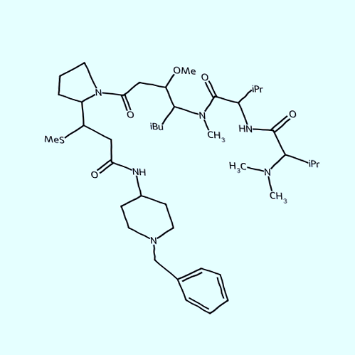 CCC(C)C(C(CC(=O)N1CCCC1C(CC(=O)NC1CCN(Cc2ccccc2)CC1)SC)OC)N(C)C(=O)C(NC(=O)C(C(C)C)N(C)C)C(C)C